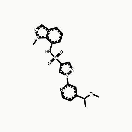 COC(C)c1ccnc(-n2cc(S(=O)(=O)Nc3cccc4cnn(C)c34)cn2)c1